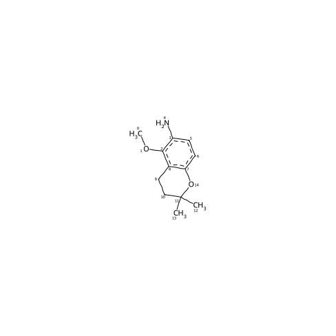 COc1c(N)ccc2c1CCC(C)(C)O2